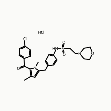 Cc1cc(Cc2ccc(NS(=O)(=O)CCN3CCOCC3)cc2)n(C)c1C(=O)c1ccc(Cl)cc1.Cl